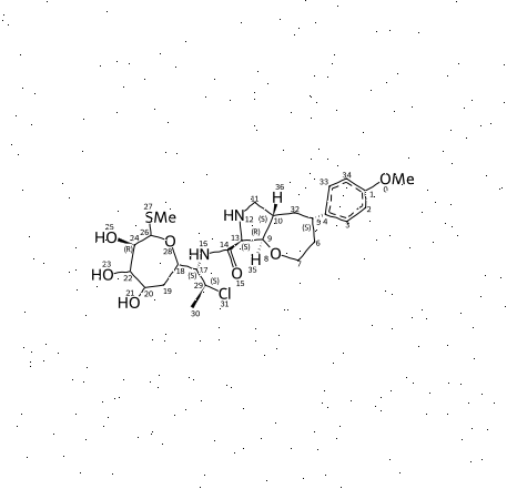 COc1ccc([C@@H]2CCO[C@@H]3[C@H](CN[C@@H]3C(=O)N[C@@H](C3CC(O)C(O)[C@@H](O)C(SC)O3)[C@H](C)Cl)C2)cc1